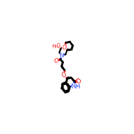 O=C1CC(OCCCC(=O)N(CCO)CC2CCCCO2)c2ccccc2N1